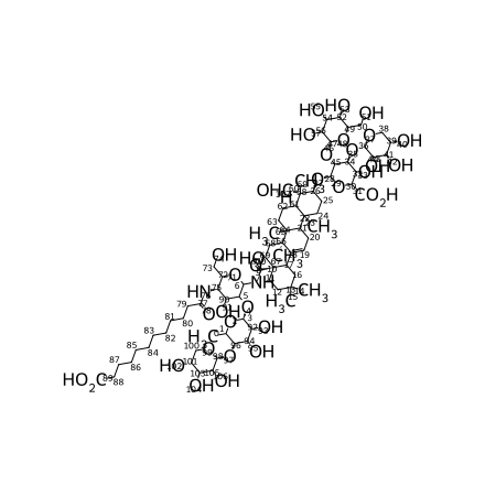 CC1O[C@@H](OC2C(NC(=O)[C@]34CCC(C)(C)CC3C3=CCC5C6(C)CC[C@H](O[C@@H]7OC(C(=O)O)[C@@H](O)[C@H](O[C@@H]8OC[C@@H](O)[C@@H](O)C8O)C7O[C@@H]7OC(CO)[C@H](O)[C@H](O)C7O)[C@](C)(C=O)[C@@H]6CCC5(C)[C@]3(C)CC4O)OC(CO)[C@H](NC(=O)CCCCCCCCCCC(=O)O)C2O)C(O)C(O)[C@H]1O[C@@H]1OC[C@@H](O)C(O)C1O